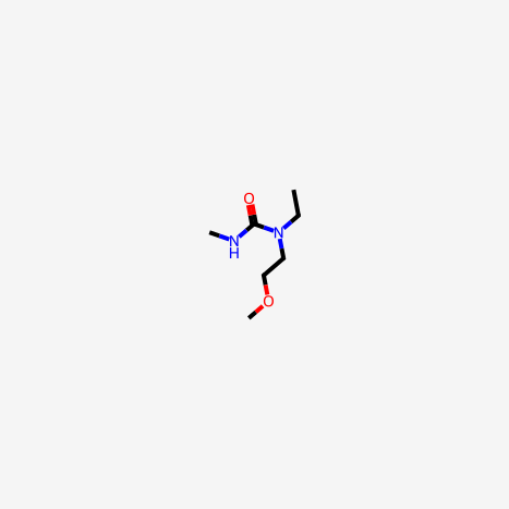 CCN(CCOC)C(=O)NC